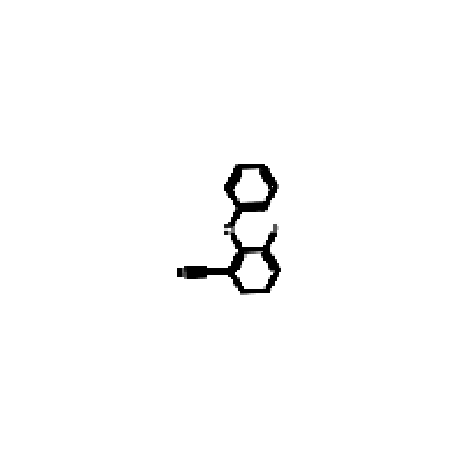 N#CC1=C(Oc2ccccc2)C(F)=CC[CH]1